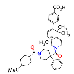 COC1CCC(C(=O)N2CCC(C(=O)N3CC=C4C(C)(C)C(c5ccc(C(=O)O)cc5)=CC[C@]4(C)C3)(c3ccccc3)CC2)CC1